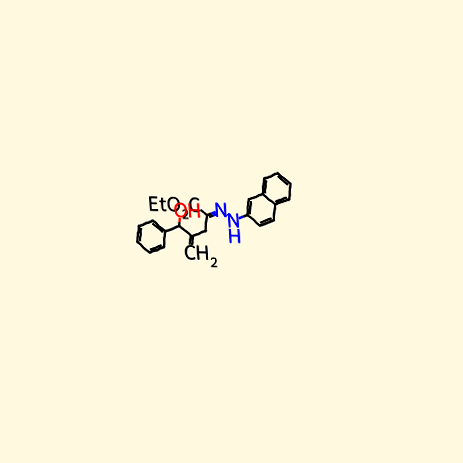 C=C(CC(=NNc1ccc2ccccc2c1)C(=O)OCC)C(O)c1ccccc1